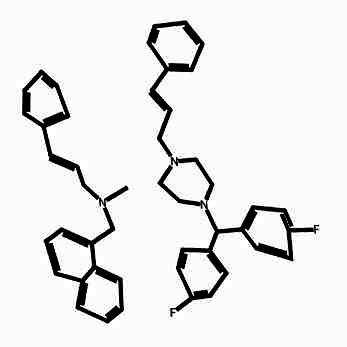 CN(C/C=C/c1ccccc1)Cc1cccc2ccccc12.Fc1ccc(C(c2ccc(F)cc2)N2CCN(C/C=C/c3ccccc3)CC2)cc1